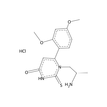 COc1ccc(-c2cc(=O)[nH]c(=S)n2C[C@H](C)N)c(OC)c1.Cl